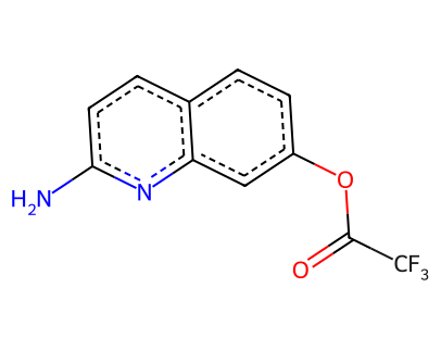 Nc1ccc2ccc(OC(=O)C(F)(F)F)cc2n1